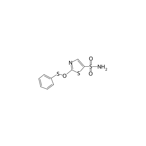 NS(=O)(=O)c1cnc(OSc2ccccc2)s1